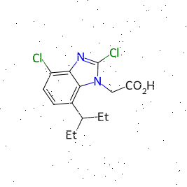 CCC(CC)c1ccc(Cl)c2nc(Cl)n(CC(=O)O)c12